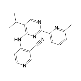 Cc1cccc(-c2ncc(C(C)C)c(Nc3ccncc3C#N)n2)n1